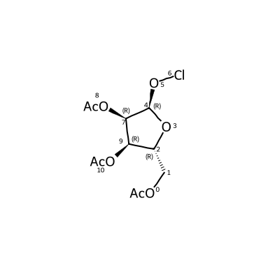 CC(=O)OC[C@H]1O[C@H](OCl)[C@H](OC(C)=O)[C@@H]1OC(C)=O